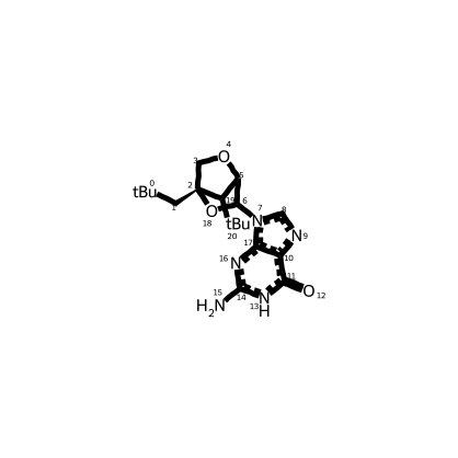 CC(C)(C)C[C@]12COC(C(n3cnc4c(=O)[nH]c(N)nc43)O1)C2C(C)(C)C